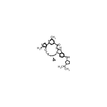 Cc1cc2cc(n1)-c1cnn(C)c1OCCC[C@@H](C1CC1)CN1/C(=N/C2=O)Nc2cc(N[C@H]3CC[C@@H](N(C)C)C3)ccc21